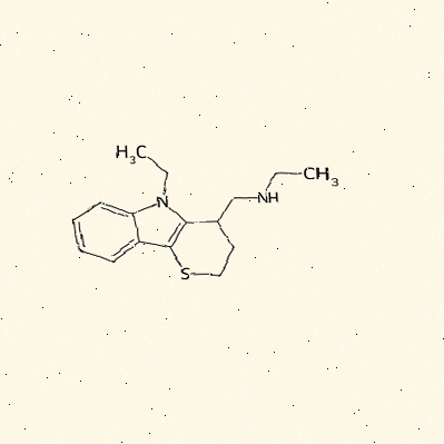 CCNCC1CCSc2c1n(CC)c1ccccc21